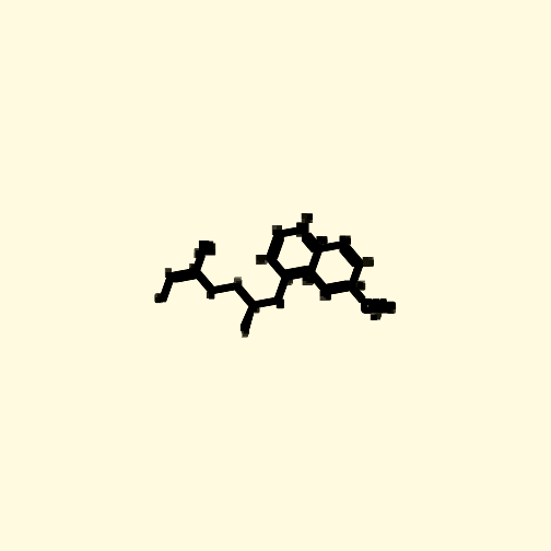 C/C=C(/CC)CC[C@H](C)Cc1ccnc2ccc(OC)cc12